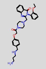 CCOc1ccccc1-n1c(CN2CCN(C(=O)COc3ccc(CNCCCN)cc3)CC2)nc2ccccc2c1=O